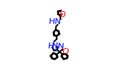 NC(=O)C(c1ccccc1)(c1ccccc1)C1CCN(CCc2ccc(CCNCc3ccco3)cc2)C1